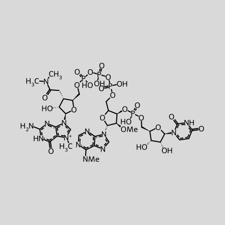 CNc1ncnc2c1ncn2[C@@H]1OC(COP(=O)(O)OP(=O)(O)OP(=O)(O)OC[C@H]2O[C@@H](n3c[n+](C)c4c(=O)[nH]c(N)nc43)[C@H](O)[C@@H]2CC(=O)N(C)C)[C@@H](OP(=O)(O)OC[C@H]2O[C@@H](n3ccc(=O)[nH]c3=O)[C@H](O)[C@@H]2O)[C@H]1OC